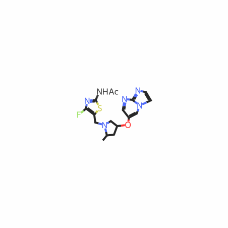 CC(=O)Nc1nc(F)c(CN2CC(Oc3cnc4nccn4c3)CC2C)s1